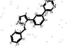 c1ccc(Cn2nccc2-c2cccc(-c3cncnc3)c2)cc1